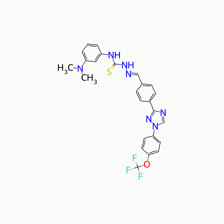 CN(C)c1cccc(NC(=S)NN=Cc2ccc(-c3ncn(-c4ccc(OC(F)(F)F)cc4)n3)cc2)c1